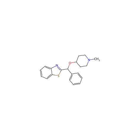 CN1CCC(OC(c2c[c]ccc2)c2nc3ccccc3s2)CC1